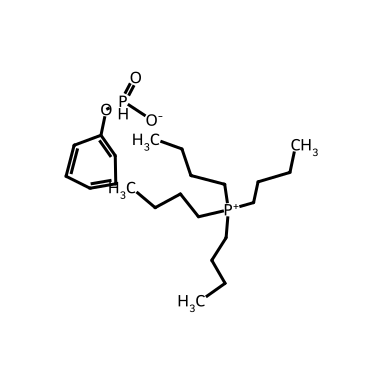 CCCC[P+](CCCC)(CCCC)CCCC.O=[PH]([O-])Oc1ccccc1